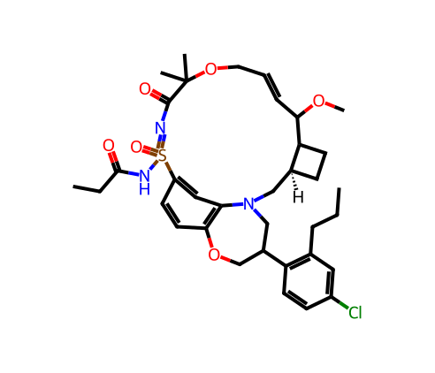 CCCc1cc(Cl)ccc1C1COc2ccc3cc2N(C1)C[C@@H]1CCC1C(OC)/C=C/COC(C)(C)C(=O)N=S3(=O)NC(=O)CC